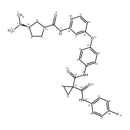 CN(C)[C@@H]1CCN(C(=O)Nc2cc(Oc3ccc(NC(=O)C4(C(=O)Nc5ccc(F)cc5)CC4)cc3)ccn2)C1